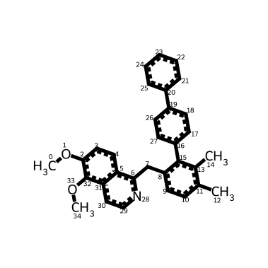 COc1ccc2c(Cc3ccc(C)c(C)c3-c3ccc(-c4ccccc4)cc3)nccc2c1OC